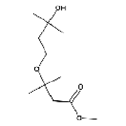 COC(=O)CC(C)(C)OCCC(C)(C)O